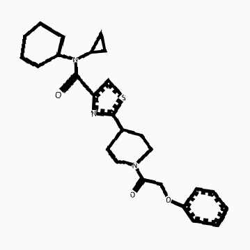 O=C(COc1ccccc1)N1CCC(c2nc(C(=O)N(C3CCCCC3)C3CC3)cs2)CC1